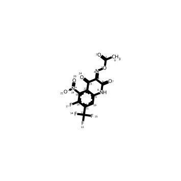 CC(=O)ON=C1C(=O)Nc2cc(C(F)(F)F)c(F)c([N+](=O)[O-])c2C1=O